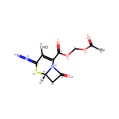 CC(C)(C)C(=O)OCOC(=O)C1=C(C=O)C(=[N+]=[N-])S[C@H]2CC(=O)N12